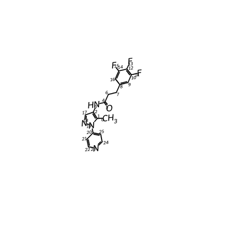 Cc1c(NC(=O)CCc2cc(F)c(F)c(F)c2)cnn1-c1ccncc1